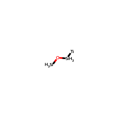 [SiH3]O[SiH2][Ti]